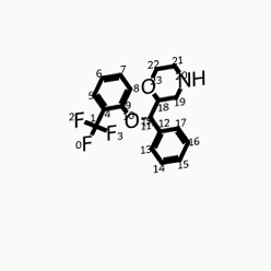 FC(F)(F)c1ccccc1O[C@@H](c1ccccc1)C1CNCCO1